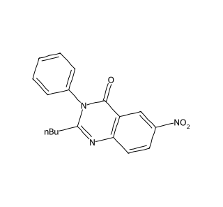 CCCCc1nc2ccc([N+](=O)[O-])cc2c(=O)n1-c1ccccc1